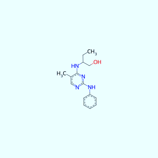 CCC(CO)Nc1nc(Nc2ccccc2)ncc1C